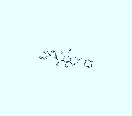 CCOC(=O)C(C)(C)CNC(=O)c1c(O)c2ccc(Oc3ccccc3)cc2c(C#N)[n+]1[O-]